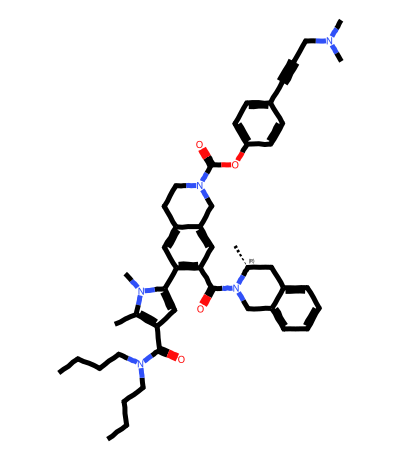 CCCCN(CCCC)C(=O)c1cc(-c2cc3c(cc2C(=O)N2Cc4ccccc4C[C@H]2C)CN(C(=O)Oc2ccc(C#CCN(C)C)cc2)CC3)n(C)c1C